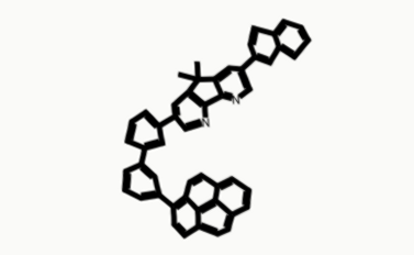 CC1(C)c2cc(-c3cccc(-c4cccc(-c5ccc6ccc7cccc8ccc5c6c78)c4)c3)cnc2-c2ncc(-c3ccc4ccccc4c3)cc21